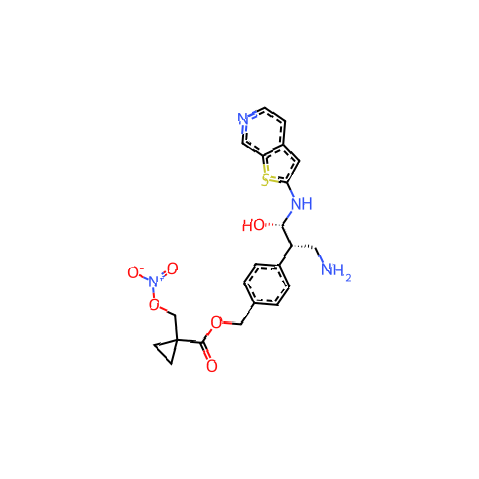 NC[C@H](c1ccc(COC(=O)C2(CO[N+](=O)[O-])CC2)cc1)[C@H](O)Nc1cc2ccncc2s1